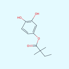 CCC(C)(C)C(=O)Oc1ccc(O)c(O)c1